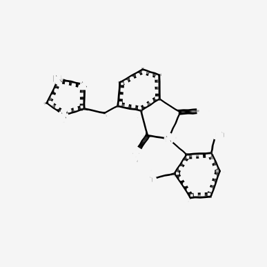 CC(C)c1cccc(C(C)C)c1N1C(=O)c2cccc(Cc3nc[nH]n3)c2C1=O